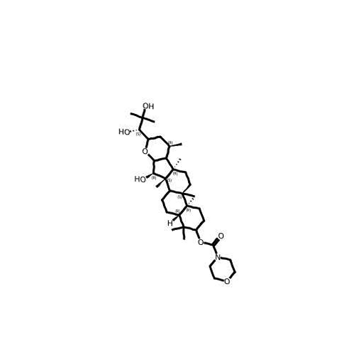 C[C@@H]1CC([C@H](O)C(C)(C)O)OC2C1[C@@]1(C)CC[C@@]34C[C@@]35CCC(OC(=O)N3CCOCC3)C(C)(C)[C@@H]5CCC4[C@]1(C)[C@H]2O